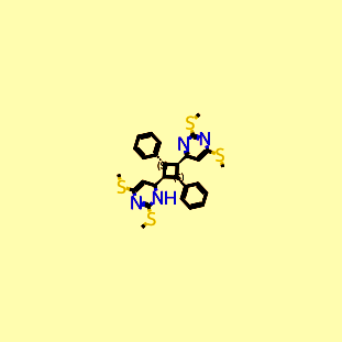 CSC1=CC([C@H]2[C@H](c3ccccc3)[C@@H](c3cc(SC)nc(SC)n3)[C@H]2c2ccccc2)NC(SC)=N1